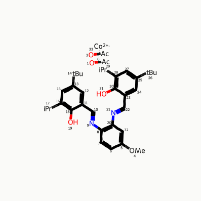 CC(=O)[O-].CC(=O)[O-].COc1ccc(N=Cc2cc(C(C)(C)C)cc(C(C)C)c2O)c(N=Cc2cc(C(C)(C)C)cc(C(C)C)c2O)c1.[Co+2]